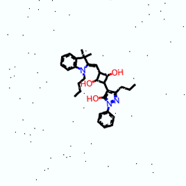 CCCCN1C(=CC2C(O)C(c3c(CCC)nn(-c4ccccc4)c3O)C2O)C(C)(C)c2ccccc21